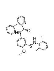 COc1ccc(NC(=O)c2ncccc2-c2ccccc2)cc1SNc1c(C)cccc1C